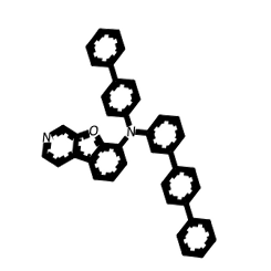 c1ccc(-c2ccc(-c3cccc(N(c4ccc(-c5ccccc5)cc4)c4cccc5c4oc4cnccc45)c3)cc2)cc1